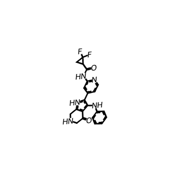 O=C1CNCc2[nH]c(-c3ccnc(NC(=O)C4CC4(F)F)c3)c(Nc3ccccc3)c21